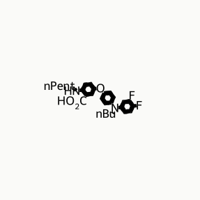 CCCCCNc1ccc(Oc2ccc(N(CCCC)c3ccc(F)c(F)c3)cc2)cc1C(=O)O